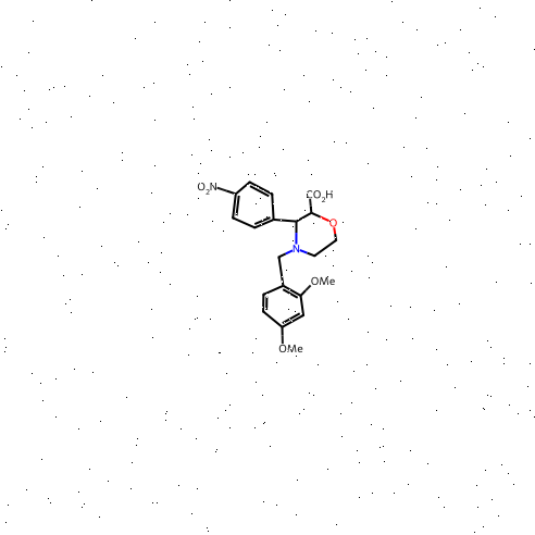 COc1ccc(CN2CCOC(C(=O)O)C2c2ccc([N+](=O)[O-])cc2)c(OC)c1